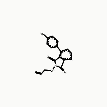 C=CCON1C(=O)c2cccc(-c3ccc(Br)cc3)c2C1=O